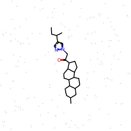 CCC(C)c1cnn(CC(=O)C2CCC3C2CCC2C4CCC(C)CC4CCC23)c1